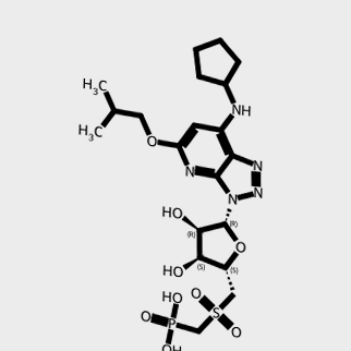 CC(C)COc1cc(NC2CCCC2)c2nnn([C@@H]3O[C@H](CS(=O)(=O)CP(=O)(O)O)[C@@H](O)[C@H]3O)c2n1